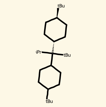 C[C](C)C(C1CCC(C(C)(C)C)CC1)([C@H]1CC[C@H](C(C)(C)C)CC1)C(C)(C)C